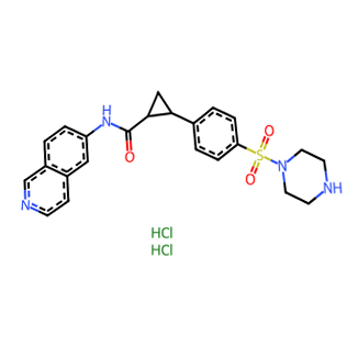 Cl.Cl.O=C(Nc1ccc2cnccc2c1)C1CC1c1ccc(S(=O)(=O)N2CCNCC2)cc1